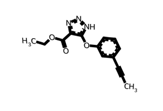 CC#Cc1cccc(Oc2[nH]nnc2C(=O)OCC)c1